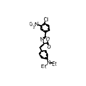 CCN(CC)c1ccc(C=C2N=C(c3ccc(Cl)c([N+](=O)[O-])c3)OC2=O)cc1